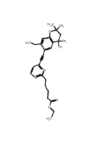 CCOC(=O)CCCCc1nccc(C#Cc2cc3c(cc2CC)OC(C)(C)CC3(C)C)n1